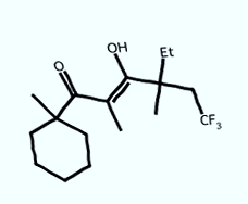 CCC(C)(CC(F)(F)F)/C(O)=C(\C)C(=O)C1(C)CCCCC1